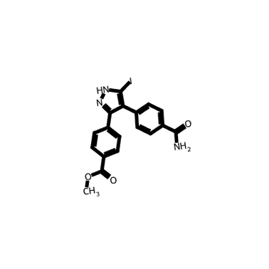 COC(=O)c1ccc(-c2n[nH]c(I)c2-c2ccc(C(N)=O)cc2)cc1